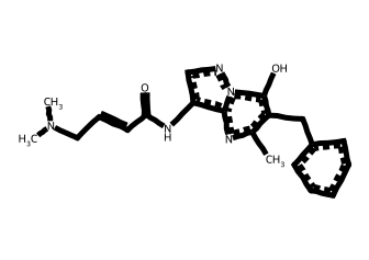 Cc1nc2c(NC(=O)/C=C/CN(C)C)cnn2c(O)c1Cc1ccccc1